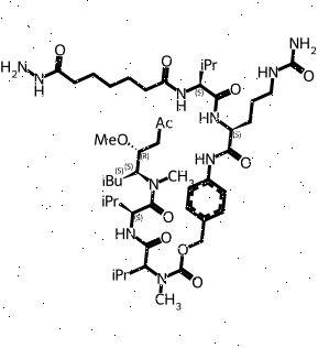 CC[C@H](C)[C@@H]([C@@H](CC(C)=O)OC)N(C)C(=O)[C@@H](NC(=O)C(C(C)C)N(C)C(=O)OCc1ccc(NC(=O)[C@H](CCCNC(N)=O)NC(=O)[C@@H](NC(=O)CCCCCC(=O)NN)C(C)C)cc1)C(C)C